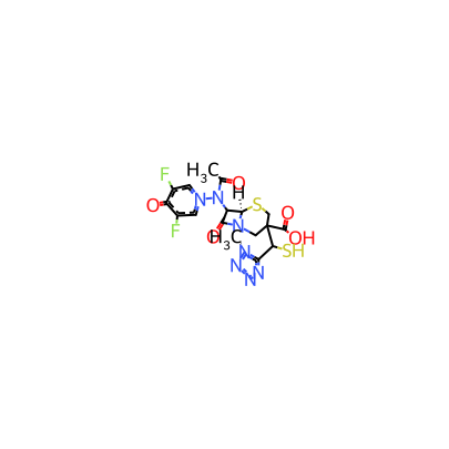 CC(=O)N(C1C(=O)N2CC(C(=O)O)(C(S)c3nnnn3C)CS[C@H]12)n1cc(F)c(=O)c(F)c1